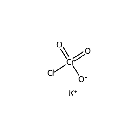 [K+].[O]=[Cr](=[O])([O-])[Cl]